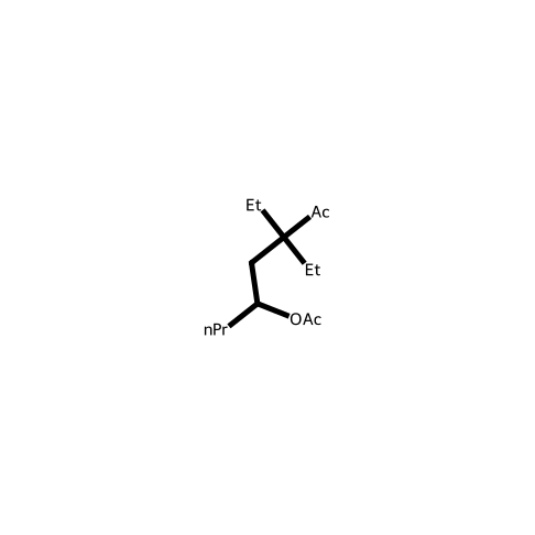 CCCC(CC(CC)(CC)C(C)=O)OC(C)=O